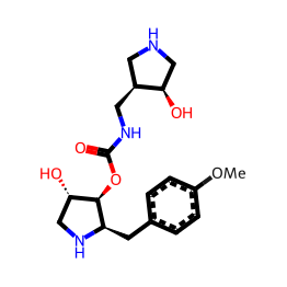 COc1ccc(C[C@H]2NC[C@H](O)[C@H]2OC(=O)NC[C@H]2CNC[C@H]2O)cc1